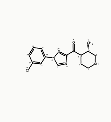 C[C@H]1CNCCN1C(=O)c1ncn(-c2cccc(Cl)c2)n1